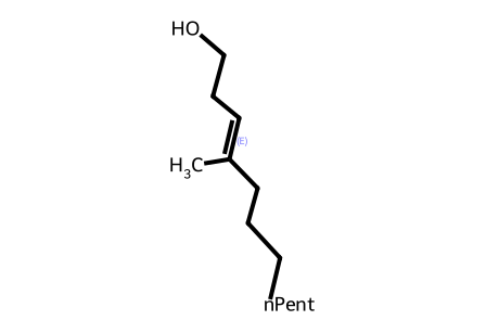 CCCCCCCC/C(C)=C/CCO